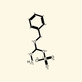 COC(OCc1ccccc1)OS(=O)(=O)Cl